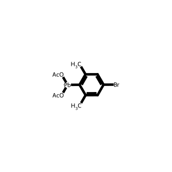 CC(=O)[O][Pb]([O]C(C)=O)[c]1c(C)cc(Br)cc1C